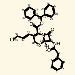 O=C(Cc1ccccc1)N[C@@H]1C(=O)N2C(C(=O)OC(c3ccccc3)c3ccccc3)=C(/C=C/CCl)CS[C@@H]12